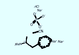 CC#N.CN[C@@H](C)Cc1ccccc1.Cl.O=P([O-])([O-])[O-].[Na+].[Na+].[Na+]